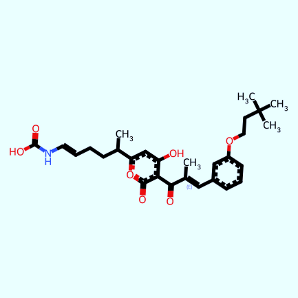 C/C(=C\c1cccc(OCCC(C)(C)C)c1)C(=O)c1c(O)cc(C(C)CCC=CNC(=O)O)oc1=O